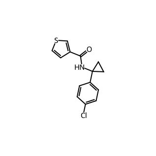 O=C(NC1(c2ccc(Cl)cc2)CC1)c1ccsc1